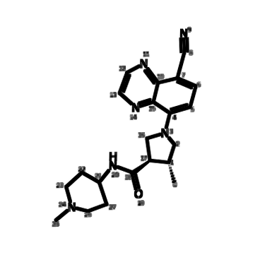 C[C@H]1CN(c2ccc(C#N)c3nccnc23)C[C@@H]1C(=O)NC1CCN(C)CC1